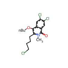 CCCCOc1c(CCCCCl)n(C)c(=O)c2cc(Cl)c(Cl)cc12